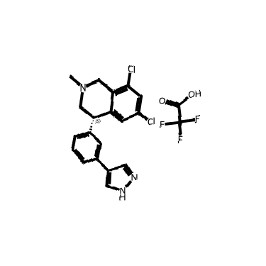 CN1Cc2c(Cl)cc(Cl)cc2[C@H](c2cccc(-c3cn[nH]c3)c2)C1.O=C(O)C(F)(F)F